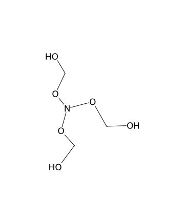 OCON(OCO)OCO